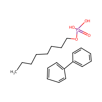 CCCCCCCCOP(=O)(O)O.c1ccc(-c2ccccc2)cc1